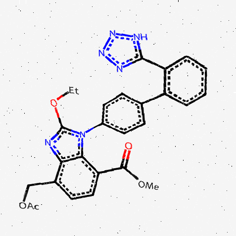 CCOc1nc2c(COC(C)=O)ccc(C(=O)OC)c2n1-c1ccc(-c2ccccc2-c2nnn[nH]2)cc1